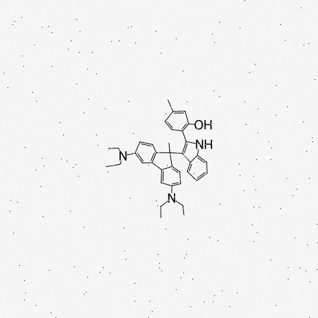 CCN(CC)c1ccc2c(c1)-c1cc(N(CC)CC)ccc1C2(C)c1c(-c2ccc(C)cc2O)[nH]c2ccccc12